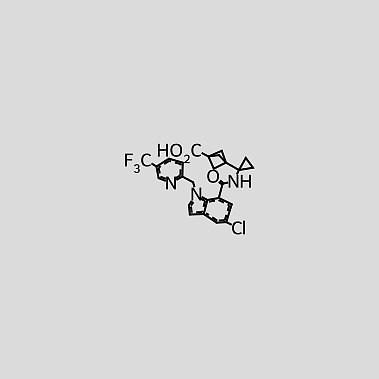 O=C(NC1(C23CC(C(=O)O)(C2)C3)CC1)c1cc(Cl)cc2ccn(Cc3ccc(C(F)(F)F)cn3)c12